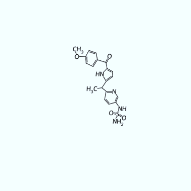 COc1ccc(C(=O)c2ccc(C(C)c3ccc(NS(N)(=O)=O)cn3)[nH]2)cc1